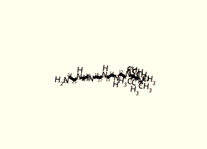 CN(C)C(C)(C)C(C)(C)N(C)CCNCCNCCNCCNCCN